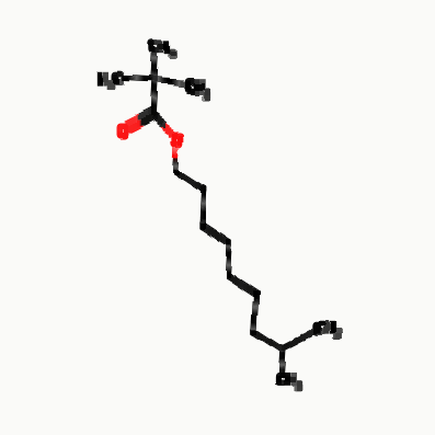 CC(C)CCCCCCCOC(=O)C(C)(C)C